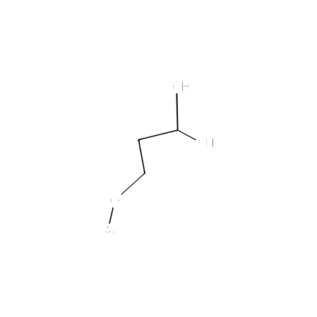 CC(=O)OCCC(C)S